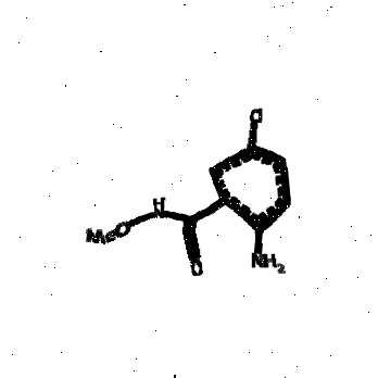 CONC(=O)c1cc(Cl)ccc1N